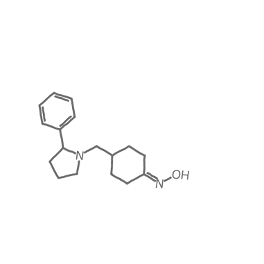 ON=C1CCC(CN2CCCC2c2ccccc2)CC1